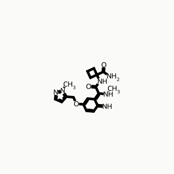 CN/C(C(=O)NC1(C(N)=O)CCC1)=C1/C=C(OCc2ccnn2C)C=CC1=N